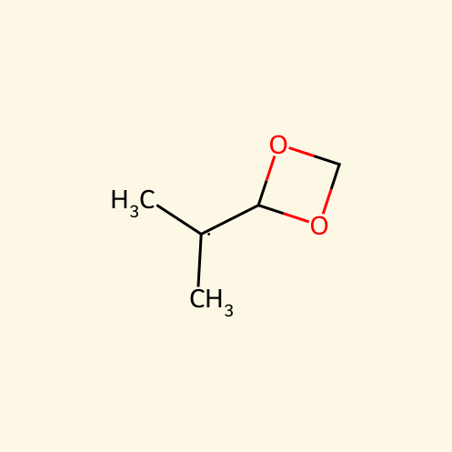 C[C](C)C1OCO1